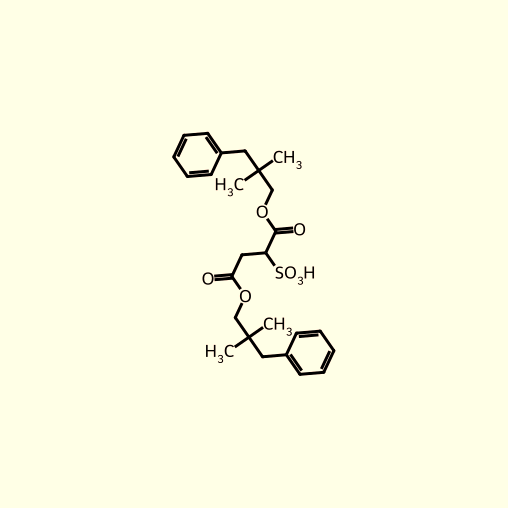 CC(C)(COC(=O)CC(C(=O)OCC(C)(C)Cc1ccccc1)S(=O)(=O)O)Cc1ccccc1